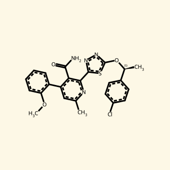 COc1ccccc1-c1cc(C)nc(-c2nnc(O[C@@H](C)c3ccc(Cl)cc3)s2)c1C(N)=O